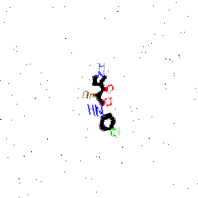 O=C(Nc1ccc(Cl)cc1)C(Br)C(=O)c1cc[nH]c1